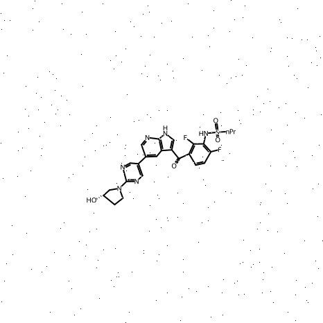 CCCS(=O)(=O)Nc1c(F)ccc(C(=O)c2c[nH]c3ncc(-c4cnc(N5CC[C@H](O)C5)nc4)cc23)c1F